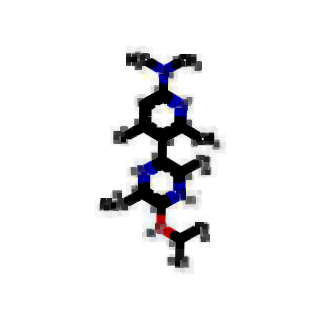 CCc1cc(N(C)C)nc(C)c1-c1nc(NC)c(OC(CC)CC)nc1CC